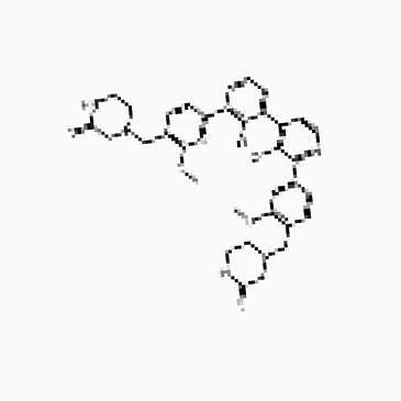 COc1cc(-c2nccc(-c3cccc(-c4ccc(CN5CCNC(=O)C5)c(OC)n4)c3Cl)c2Cl)ccc1CN1CCNC(=O)C1